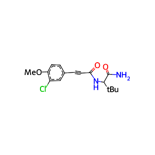 COc1ccc(C#CC(=O)NC(C(N)=O)C(C)(C)C)cc1Cl